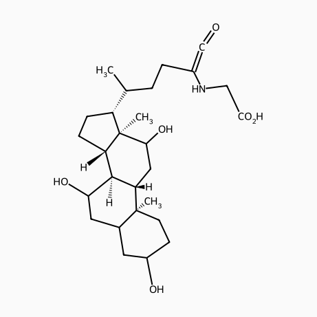 CC(CCC(=C=O)NCC(=O)O)[C@H]1CC[C@H]2[C@@H]3C(O)CC4CC(O)CC[C@]4(C)[C@H]3CC(O)[C@]12C